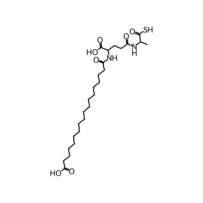 CC(NC(=O)CCC(NC(=O)CCCCCCCCCCCCCCCCC(=O)O)C(=O)O)C(=O)S